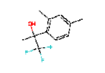 Cc1ccc(C(C)(O)C(F)(F)F)c(C)c1